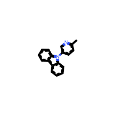 Cc1ccc(-n2c3ccccc3c3ccccc32)cn1